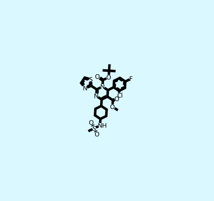 COC(=O)C1=C(C2CCC(NS(C)(=O)=O)CC2)N=C(c2nccs2)N(C(=O)OC(C)(C)C)C1c1ccc(F)cc1Cl